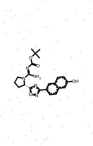 CC(C)(C)OC(=O)/N=C(\N)N1CCC[C@H]1c1nc(-c2ccc3cc(O)ccc3c2)no1